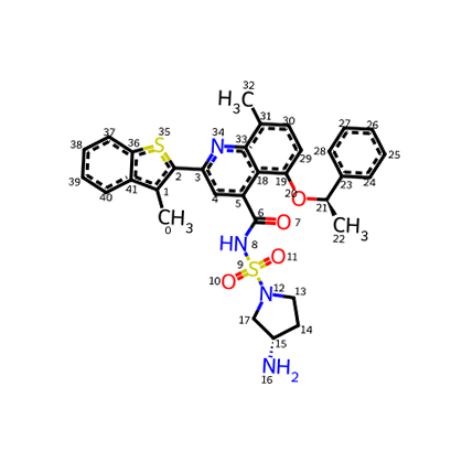 Cc1c(-c2cc(C(=O)NS(=O)(=O)N3CC[C@H](N)C3)c3c(O[C@H](C)c4ccccc4)ccc(C)c3n2)sc2ccccc12